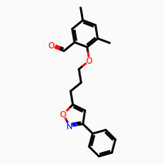 Cc1cc(C)c(OCCCc2cc(-c3ccccc3)no2)c(C=O)c1